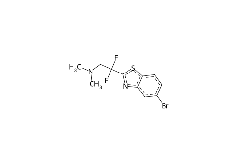 CN(C)CC(F)(F)c1nc2cc(Br)ccc2s1